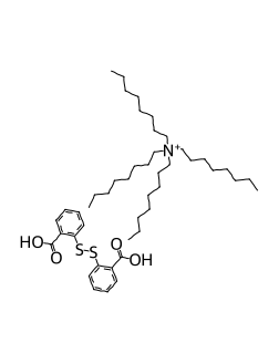 CCCCCCCC[N+](CCCCCCCC)(CCCCCCCC)CCCCCCCC.O=C(O)c1ccccc1SSc1ccccc1C(=O)O